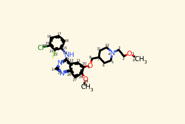 COCCN1CCC(COc2cc3c(Nc4cccc(Cl)c4F)ncnc3cc2OC)CC1